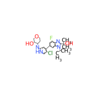 CC(C)n1c(C(C)(C)O)nc2c(F)cc(-c3cc(N[C@@H]4CCOC[C@H]4O)ncc3Cl)cc21